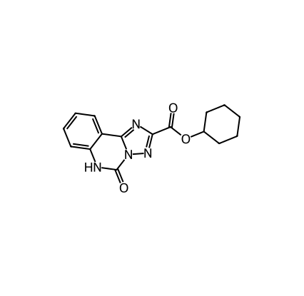 O=C(OC1CCCCC1)c1nc2c3ccccc3[nH]c(=O)n2n1